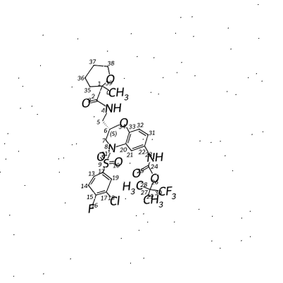 CC1(C(=O)NC[C@H]2CN(S(=O)(=O)c3ccc(F)c(Cl)c3)c3cc(NC(=O)OC(C)(C)C(F)(F)F)ccc3O2)CCCCO1